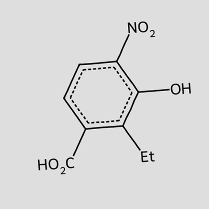 CCc1c(C(=O)O)ccc([N+](=O)[O-])c1O